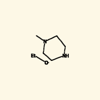 CC[O].CN1CCNCC1